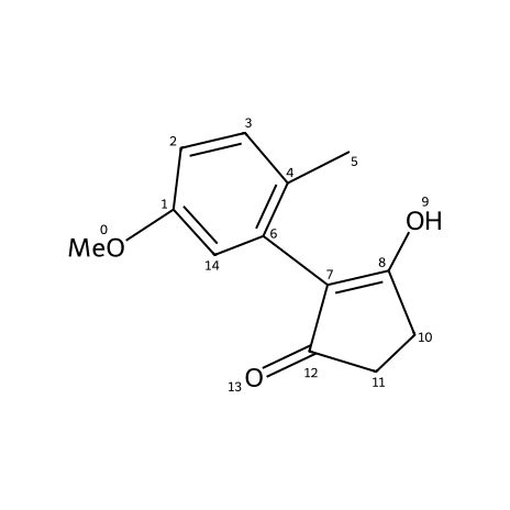 COc1ccc(C)c(C2=C(O)CCC2=O)c1